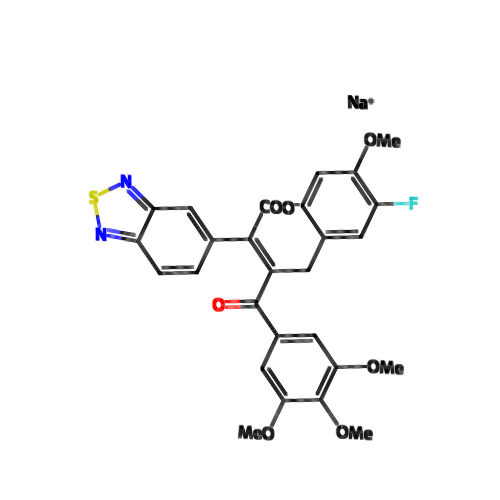 COc1ccc(C/C(C(=O)c2cc(OC)c(OC)c(OC)c2)=C(\C(=O)[O-])c2ccc3nsnc3c2)cc1F.[Na+]